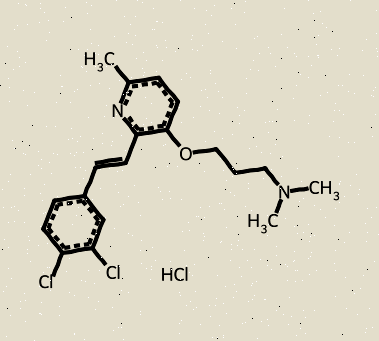 Cc1ccc(OCCCN(C)C)c(C=Cc2ccc(Cl)c(Cl)c2)n1.Cl